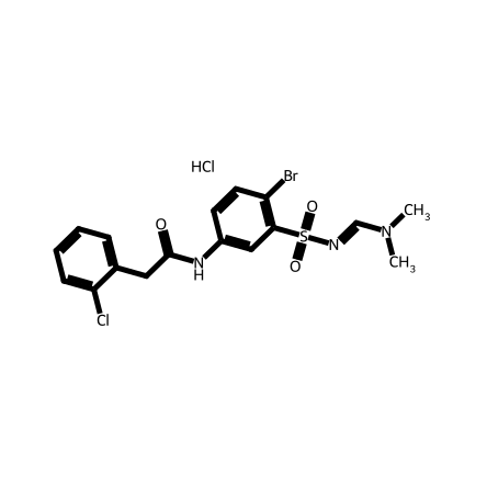 CN(C)/C=N/S(=O)(=O)c1cc(NC(=O)Cc2ccccc2Cl)ccc1Br.Cl